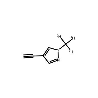 [2H]C([2H])([2H])n1cc(C#C)cn1